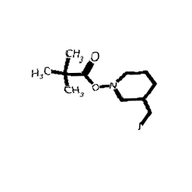 CC(C)(C)C(=O)ON1CCCC(CI)C1